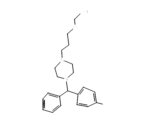 OCOCCCN1CCN(C(c2ccccc2)c2ccc(Cl)cc2)CC1